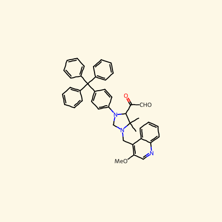 COc1cnc2ccccc2c1CN1CN(c2ccc(C(c3ccccc3)(c3ccccc3)c3ccccc3)cc2)C(C(=O)C=O)C1(C)C